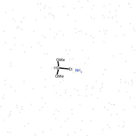 CC[SiH](OC)OC.N